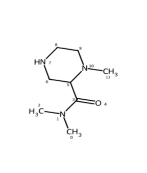 CN(C)C(=O)C1CNCCN1C